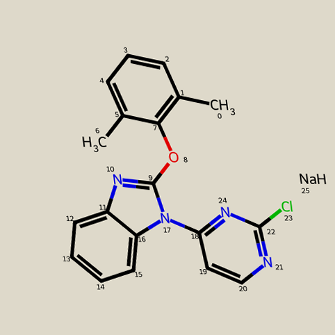 Cc1cccc(C)c1Oc1nc2ccccc2n1-c1ccnc(Cl)n1.[NaH]